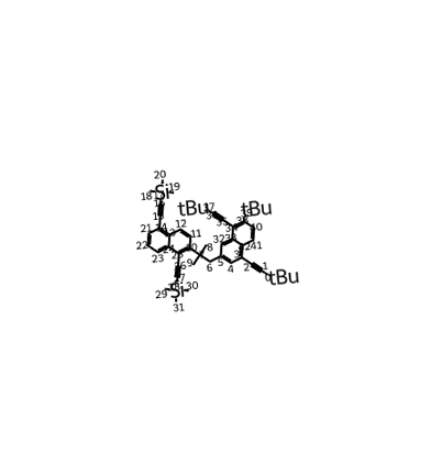 CC(C)(C)C#Cc1cc(CC(C)(C)c2ccc3c(C#C[Si](C)(C)C)cccc3c2C#C[Si](C)(C)C)cc2c(C#CC(C)(C)C)c(C(C)(C)C)ccc12